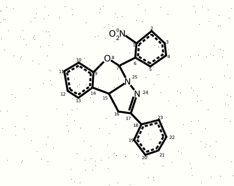 O=[N+]([O-])c1ccccc1C1Oc2ccccc2C2CC(c3ccccc3)=NN21